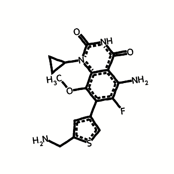 COc1c(-c2csc(CN)c2)c(F)c(N)c2c(=O)[nH]c(=O)n(C3CC3)c12